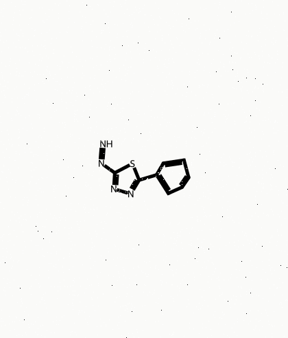 N=Nc1nnc(-c2ccccc2)s1